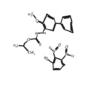 COc1ccc(-c2ccccc2)cc1NNC(=O)OC(C)C.O=[N+]([O-])c1cccc(O)c1[N+](=O)[O-]